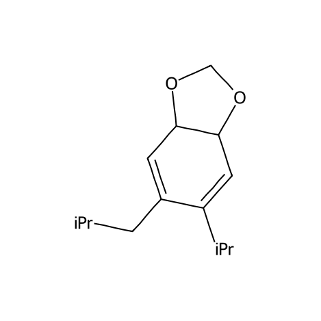 CC(C)CC1=CC2OCOC2C=C1C(C)C